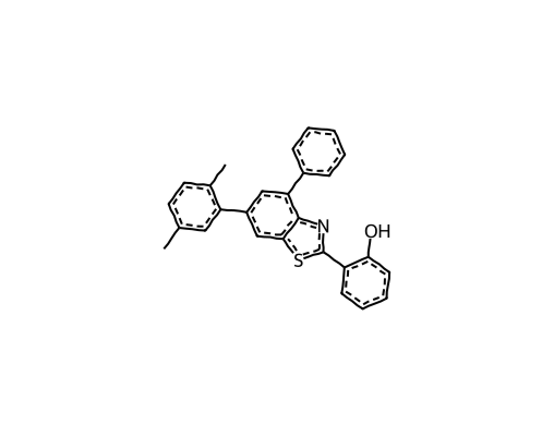 Cc1ccc(C)c(-c2cc(-c3ccccc3)c3nc(-c4ccccc4O)sc3c2)c1